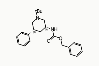 CC(C)(C)N1C[C@H](NC(=O)OCc2ccccc2)C[C@H](c2ccccc2)C1